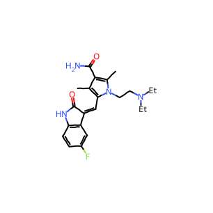 CCN(CC)CCn1c(C)c(C(N)=O)c(C)c1/C=C1\C(=O)Nc2ccc(F)cc21